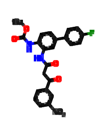 CC(C)(C)OC(=O)Nc1ccc(-c2ccc(F)cc2)cc1NC(=O)CC(=O)c1cccc([N+](=O)[O-])c1